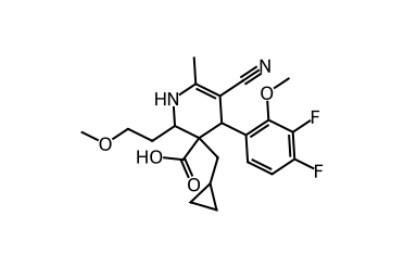 COCCC1NC(C)=C(C#N)C(c2ccc(F)c(F)c2OC)C1(CC1CC1)C(=O)O